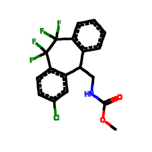 COC(=O)NCC1c2ccccc2C(F)(F)C(F)(F)c2ccc(Cl)cc21